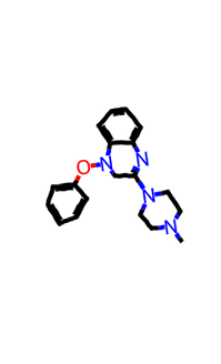 CN1CCN(C2=Nc3ccccc3N(Oc3ccccc3)C2)CC1